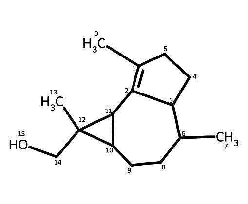 CC1=C2C(CC1)C(C)CCC1C2C1(C)CO